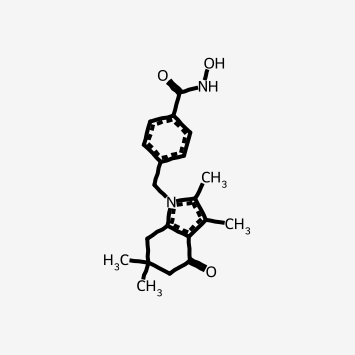 Cc1c2c(n(Cc3ccc(C(=O)NO)cc3)c1C)CC(C)(C)CC2=O